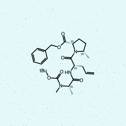 C=CC[C@H](NC(=O)[C@H](C)N(C)C(=O)OC(C)(C)C)C(=O)N1[C@@H](C)CC[C@H]1C(=O)OCc1ccccc1